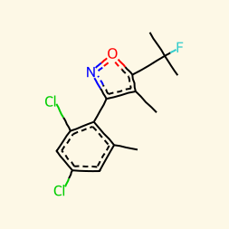 Cc1cc(Cl)cc(Cl)c1-c1noc(C(C)(C)F)c1C